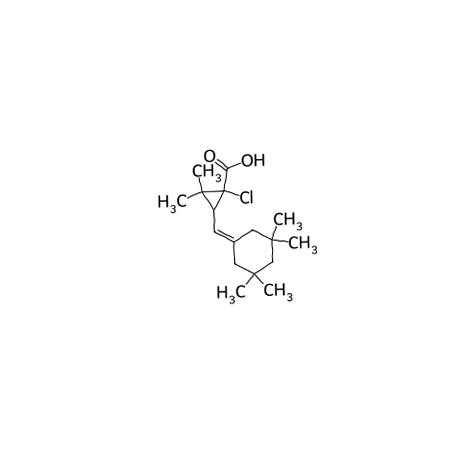 CC1(C)CC(=CC2C(C)(C)C2(Cl)C(=O)O)CC(C)(C)C1